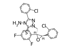 Nn1c(-c2ccccc2Cl)nn(C[C@@]2(c3ccc(F)cc3F)O[C@@H]2c2ccccc2Cl)c1=S